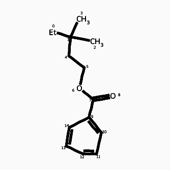 CCC(C)(C)CCOC(=O)c1ccccc1